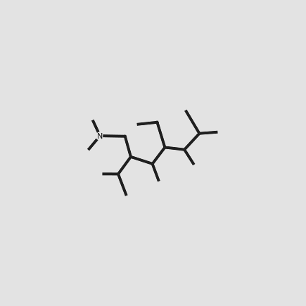 CCC(C(C)C(C)C)C(C)C(CN(C)C)C(C)C